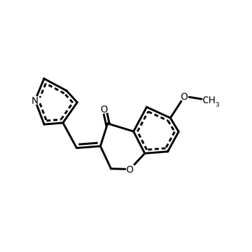 COc1ccc2c(c1)C(=O)C(=Cc1cccnc1)CO2